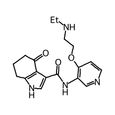 CCNCCOc1ccncc1NC(=O)c1c[nH]c2c1C(=O)CCC2